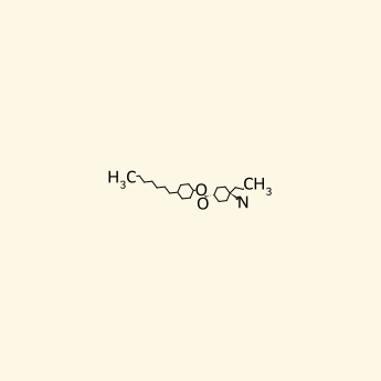 CCCCCCCC1CCC(OC(=O)[C@H]2CC[C@@](C#N)(CCC)CC2)CC1